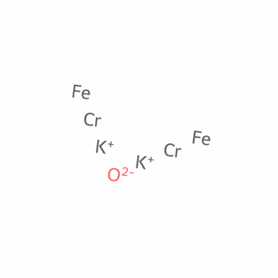 [Cr].[Cr].[Fe].[Fe].[K+].[K+].[O-2]